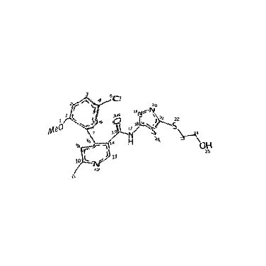 COc1ccc(Cl)cc1-c1cc(C)ncc1C(=O)Nc1nnc(SCCO)s1